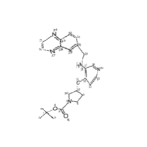 CC(C)(C)OC(=O)N1CC[C@@H](Oc2ccncc2NCc2ccc3nccnc3c2)C1